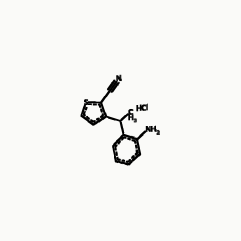 CC(c1ccccc1N)c1ccsc1C#N.Cl